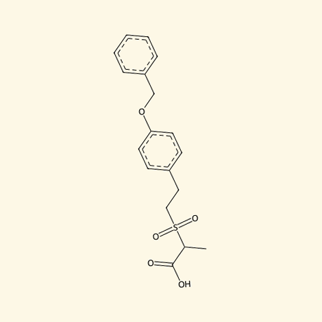 CC(C(=O)O)S(=O)(=O)CCc1ccc(OCc2ccccc2)cc1